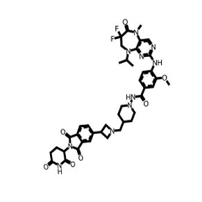 COc1cc(C(=O)NN2CCC(CN3CC(c4ccc5c(c4)C(=O)N(C4CCC(=O)NC4=O)C5=O)C3)CC2)ccc1Nc1ncc2c(n1)N(C(C)C)CC(F)(F)C(=O)N2C